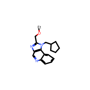 CCOCc1nc2cnc3ccccc3c2n1CC1CCCC1